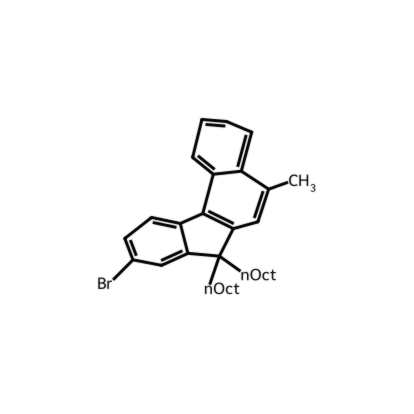 CCCCCCCCC1(CCCCCCCC)c2cc(Br)ccc2-c2c1cc(C)c1ccccc21